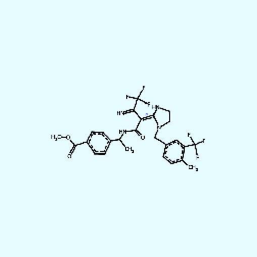 COC(=O)c1ccc(C(C)NC(=O)/C(C(=N)C(F)(F)F)=C2/NCCN2Cc2ccc(C)c(C(F)(F)F)c2)cc1